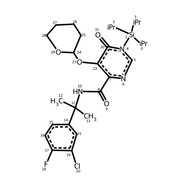 CC(C)[Si](C(C)C)(C(C)C)n1cnc(C(=O)NC(C)(C)c2ccc(F)c(Cl)c2)c(OC2CCCCO2)c1=O